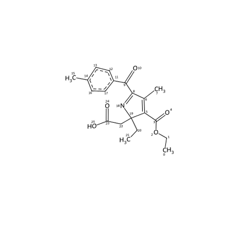 CCOC(=O)C1=C(C)C(C(=O)c2ccc(C)cc2)=NC1(CC)CC(=O)O